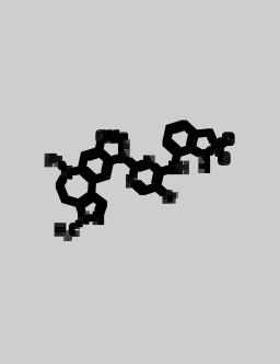 COc1cc2c(cc1Nc1ncc(Br)c(Nc3cccc4c3NS(=O)(=O)C4)n1)-c1cnn(C)c1CCN2C(C)C